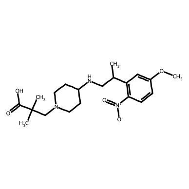 COc1ccc([N+](=O)[O-])c(C(C)CNC2CCN(CC(C)(C)C(=O)O)CC2)c1